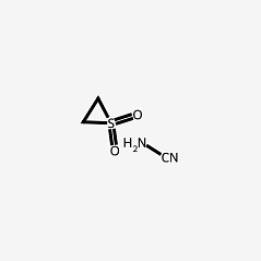 N#CN.O=S1(=O)CC1